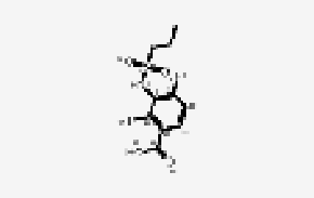 CCCS(=O)(=O)Nc1c(F)ccc(C(=O)O)c1F